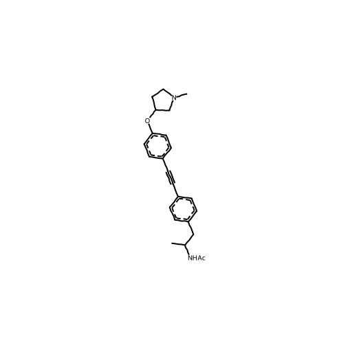 CC(=O)NC(C)Cc1ccc(C#Cc2ccc(OC3CCN(C)C3)cc2)cc1